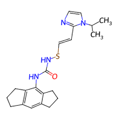 CC(C)n1ccnc1/C=C/SNC(=O)Nc1c2c(cc3c1CCC3)CCC2